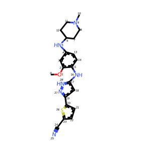 COc1cc(NC2CCN(C)CC2)ccc1Nc1cc(-c2ccc(C#N)s2)n[nH]1